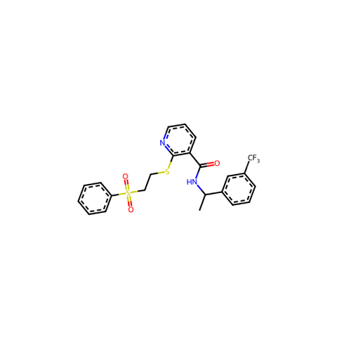 CC(NC(=O)c1cccnc1SCCS(=O)(=O)c1ccccc1)c1cccc(C(F)(F)F)c1